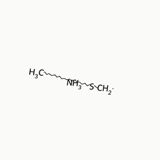 N.[CH2]CCSCCCCCCCCCCCCCCCCCCCC